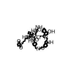 C[N+](C)(CCOc1ccc2[nH]c(CN3C[C@@H](CCl)c4c3cc(O)c3ccccc43)cc2c1)Cc1ccc(NC(=O)[C@H](CCCNC(N)=O)NC(=O)C2(C(=O)NCCCCCN3C(=O)C=CC3=O)CCC2)cc1